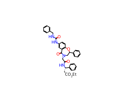 CCOC(=O)C[C@H](NC(=O)CN1CC(c2ccccc2)Oc2ccc(NC(=O)NCc3ccccc3)cc2C1=O)c1ccccc1